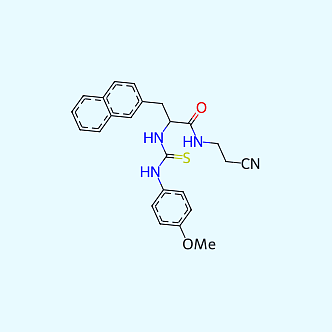 COc1ccc(NC(=S)NC(Cc2ccc3ccccc3c2)C(=O)NCCC#N)cc1